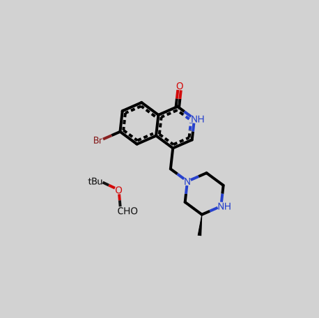 CC(C)(C)OC=O.C[C@H]1CN(Cc2c[nH]c(=O)c3ccc(Br)cc23)CCN1